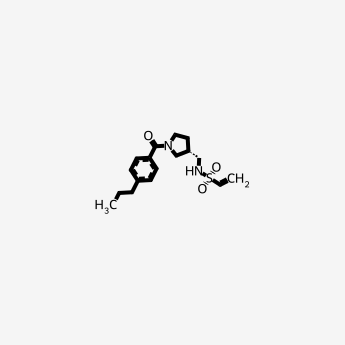 C=CS(=O)(=O)NC[C@H]1CCN(C(=O)c2ccc(CCC)cc2)C1